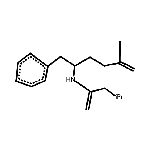 C=C(C)CCC(Cc1ccccc1)NC(=C)CC(C)C